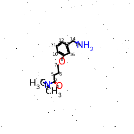 CN(C)C(=O)CCCOc1cc[c]c(CN)c1